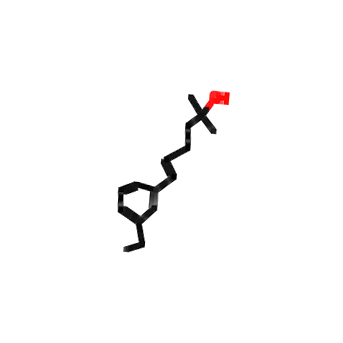 CCc1cccc(/C=C/CCC(C)(C)O)c1